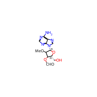 COC1C(OC=O)[C@@H](CO)O[C@H]1n1cnc2c(N)ncnc21